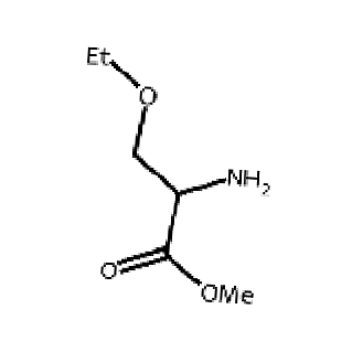 CCOCC(N)C(=O)OC